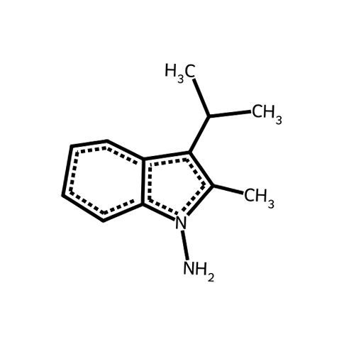 Cc1c(C(C)C)c2ccccc2n1N